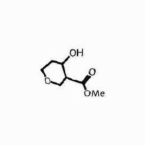 COC(=O)C1COCCC1O